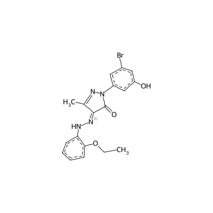 CCOc1ccccc1N/N=C1/C(=O)N(c2cc(O)cc(Br)c2)N=C1C